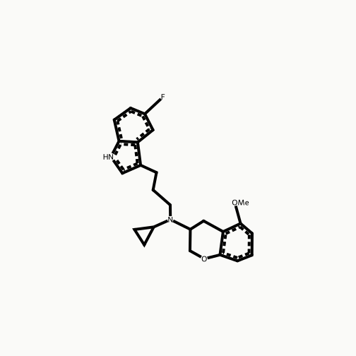 COc1cccc2c1CC(N(CCCc1c[nH]c3ccc(F)cc13)C1CC1)CO2